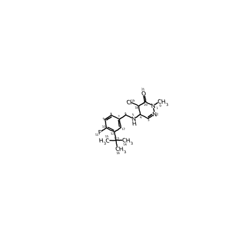 CN1N=CC(NCc2ccc(F)c(C(C)(C)C)c2)C(Cl)C1=O